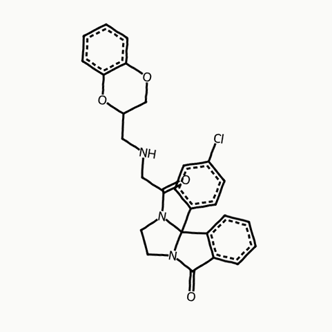 O=C(CNCC1COc2ccccc2O1)N1CCN2C(=O)c3ccccc3C12c1ccc(Cl)cc1